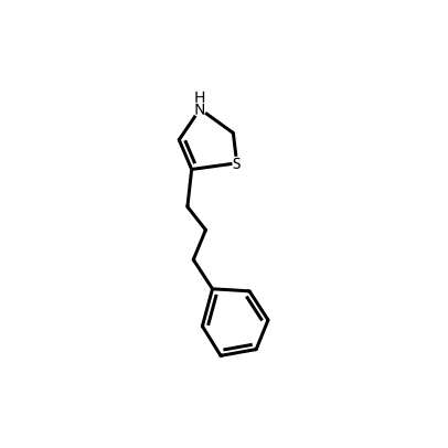 C1=C(CCCc2ccccc2)SCN1